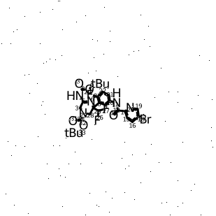 CC(C)(C)OC(=O)NC1=NC(c2cc(NC(=O)c3ccc(Br)cn3)ccc2F)(C(F)F)CN(C(=O)OC(C)(C)C)C1